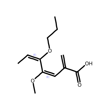 C=C(/C=C(OC)\C(=C/C)OCCC)C(=O)O